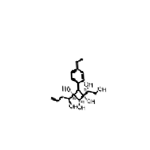 C=CCC(O)[C@@]1(O)C(c2ccc(CC)cc2)[C@@](O)([C@H](O)CO)[C@@H]1O